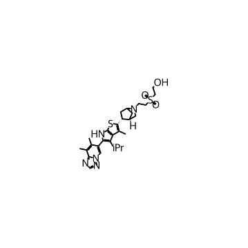 Cc1c(-c2[nH]c3sc([C@@H]4CC5C[C@H]4CN5CCS(=O)(=O)CCO)c(C)c3c2C(C)C)cn2ncnc2c1C